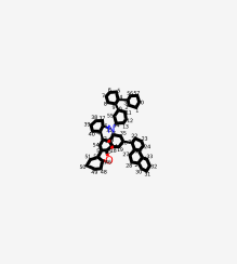 c1ccc(-c2ccccc2-c2cccc(N(c3cccc(-c4cccc5c4ccc4ccccc45)c3)c3ccccc3-c3ccc4oc5ccccc5c4c3)c2)cc1